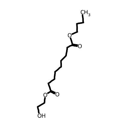 CCCCOC(=O)CCCCCCCC(=O)OCCO